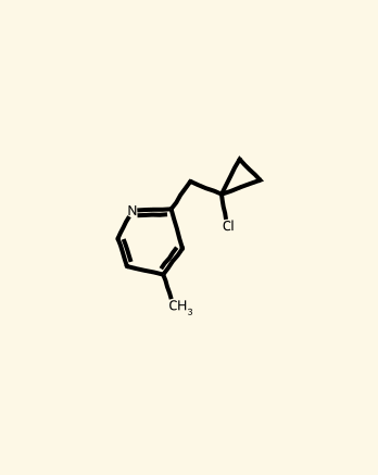 Cc1ccnc(CC2(Cl)CC2)c1